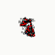 C=C/C=C/[C@@H](OC)[C@@]1(O)C[C@@H]([C@@H](C)[C@@H]2O[C@@]2(C)[C@H](CC(=O)N(C)/C(C=C)=C\Cl)OC(=O)[C@H](C)N(C)C(=O)CCSCC(=O)N2CCC(C(=O)NC3CCCCCC4C5SCc6nc7ccc(C(=O)NCCOCCOCCC(=O)N[C@H](C(=O)N[C@@H](CCCNC(N)=O)C(=O)Nc8ccc(COC(=O)N(C)[C@H](C(=O)N[C@H](C(N)=O)C(C)(C)C)C(C)(C)c9ccccc9)cc8)C(C)C)cc7nc6CSC5C34C)CC2)OC(=O)N1